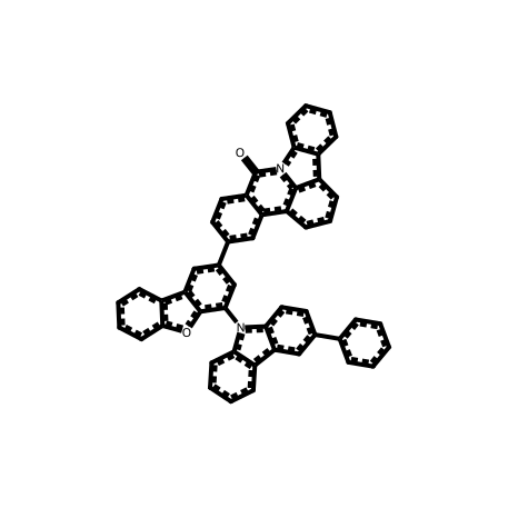 O=c1c2ccc(-c3cc(-n4c5ccccc5c5cc(-c6ccccc6)ccc54)c4oc5ccccc5c4c3)cc2c2cccc3c4ccccc4n1c23